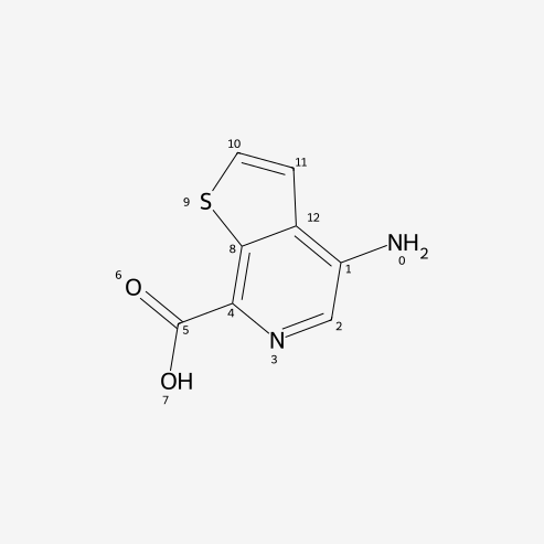 Nc1cnc(C(=O)O)c2sccc12